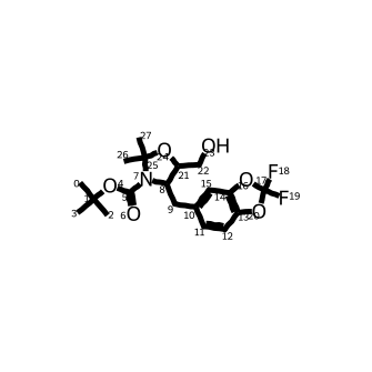 CC(C)(C)OC(=O)N1C(Cc2ccc3c(c2)OC(F)(F)O3)C(CO)OC1(C)C